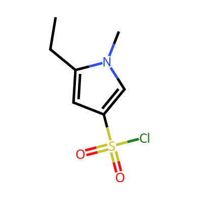 CCc1cc(S(=O)(=O)Cl)cn1C